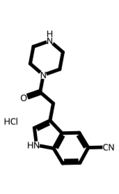 Cl.N#Cc1ccc2[nH]cc(CC(=O)N3CCNCC3)c2c1